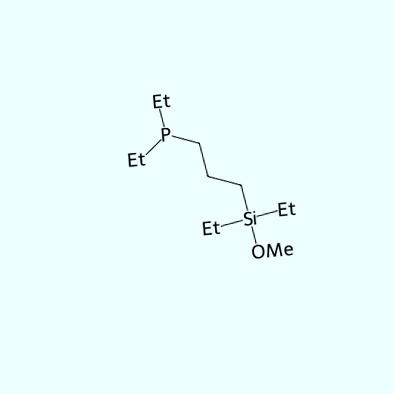 CCP(CC)CCC[Si](CC)(CC)OC